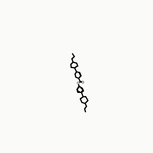 CCCC1CCC(c2ccc(OC(=O)C3C=CC(C4CCC(CCC)CC4)CC3)cc2)CC1